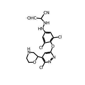 N#CC([C]=O)NNc1cc(Cl)c(Oc2cc(C3CNCCO3)c(Cl)nn2)c(Cl)c1